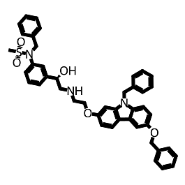 CS(=O)(=O)N(Cc1ccccc1)c1cccc([C@@H](O)CNCCOc2ccc3c4cc(OCc5ccccc5)ccc4n(Cc4ccccc4)c3c2)c1